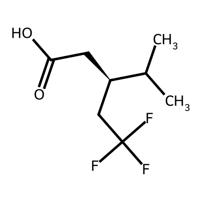 CC(C)[C@H](CC(=O)O)CC(F)(F)F